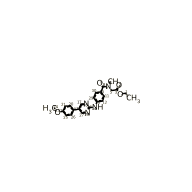 CCOC(=O)CN(C)C(=O)c1ccc(Nc2ncc(-c3ccc(OC)cc3)cn2)cc1